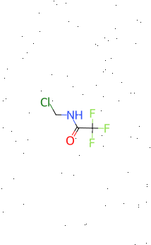 O=C(NCCl)C(F)(F)F